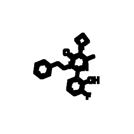 Cc1nc(-c2cccc(F)c2O)n(CCc2ccccc2)c(=O)c1N1CCC1